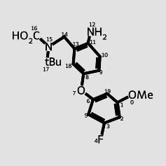 COc1cc(F)cc(Oc2ccc(N)c(CN(C(=O)O)C(C)(C)C)c2)c1